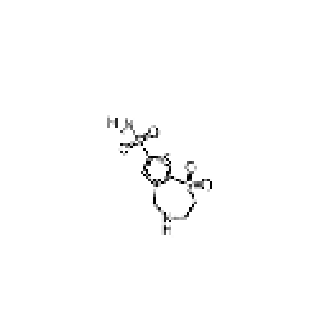 NS(=O)(=O)c1cc2c(s1)S(=O)(=O)CCNC2